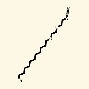 [N-]=[N+]=NCCOCCOCCCCCCCCCCCS